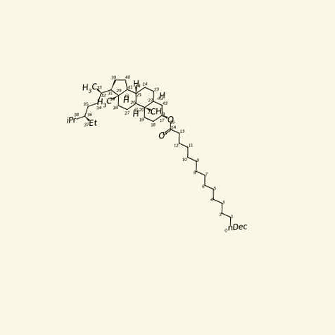 CCCCCCCCCCCCCCCCCCCCCCCC(=O)O[C@H]1CC[C@@]2(C)[C@@H](CC[C@@H]3[C@@H]2CC[C@]2(C)[C@@H]([C@H](C)CC[C@@H](CC)C(C)C)CC[C@@H]32)C1